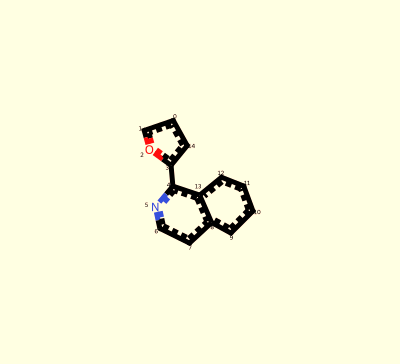 c1coc(-c2nccc3ccccc23)c1